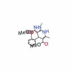 COC(=O)C1=C(C)Nc2c(c(C(C)(C)C)nn2C)C1c1ccccc1C(=O)OC